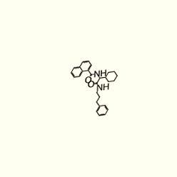 O=C(NC(C(=O)NCCCc1ccccc1)C1CCCCC1)c1cccc2ccccc12